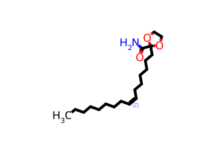 CCCCCCCC/C=C\CCCCCCC1(C(N)=O)OCCO1